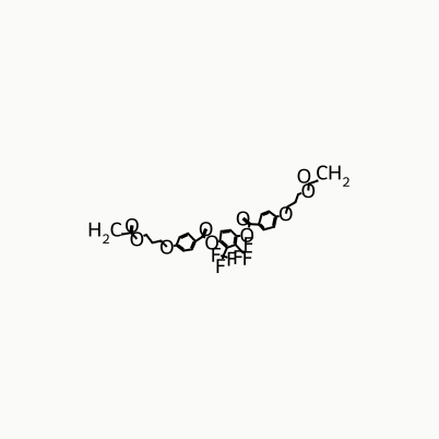 C=CC(=O)OCCCOc1ccc(C(=O)Oc2ccc(OC(=O)c3ccc(OCCCOC(=O)C=C)cc3)c(C(F)(F)F)c2C(F)(F)F)cc1